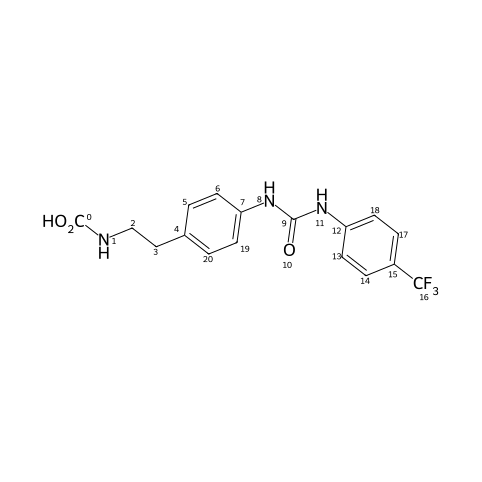 O=C(O)NCCc1ccc(NC(=O)Nc2ccc(C(F)(F)F)cc2)cc1